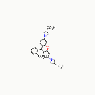 O=C(O)c1ccccc1-c1c2ccc(=[N+]3CC(C(=O)O)C3)cc-2oc2cc(N3CC(C(=O)O)C3)ccc12